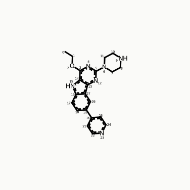 CCOc1nc(N2CCNCC2)nc2c1[nH]c1ccc(-c3ccncc3)cc12